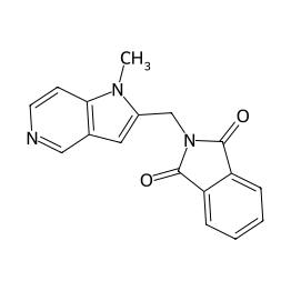 Cn1c(CN2C(=O)c3ccccc3C2=O)cc2cnccc21